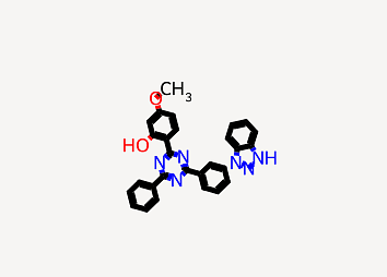 COc1ccc(-c2nc(-c3ccccc3)nc(-c3ccccc3)n2)c(O)c1.c1ccc2[nH]nnc2c1